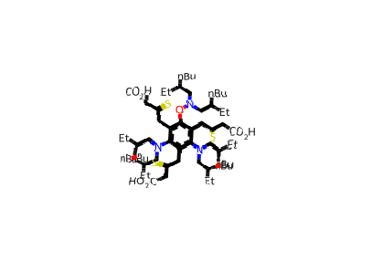 CCCCC(CC)CN(CC(CC)CCCC)Oc1c(CC(=S)CC(=O)O)c(N(CC(CC)CCCC)CC(CC)CCCC)c(CC(=S)CC(=O)O)c(N(CC(CC)CCCC)CC(CC)CCCC)c1CC(=S)CC(=O)O